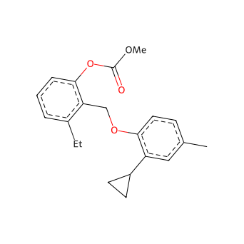 CCc1cccc(OC(=O)OC)c1COc1ccc(C)cc1C1CC1